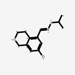 CC(C)S/N=C/c1cc(Cl)cc2c1CCOC2